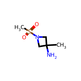 CC1(N)CN(S(C)(=O)=O)C1